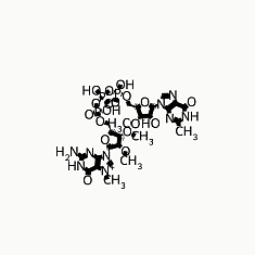 COC1[C@@H](OC)[C@@H](COP(=O)(O)OP(=O)(O)OP(=O)(O)OC[C@H]2O[C@@H](n3cnc4c(=O)[nH]c(C)nc43)C(O)[C@H]2OC)O[C@H]1n1c[n+](C)c2c(=O)[nH]c(N)nc21